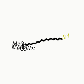 CO[Si](CCCCCCCCCCCCCCCCCCS)(OC)OC